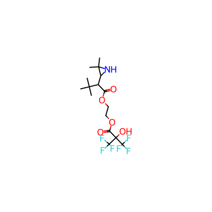 CC(C)(C)C(C(=O)OCCOC(=O)C(O)(C(F)(F)F)C(F)(F)F)C1NC1(C)C